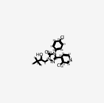 CC(C)(C)C(O)Cn1nc(-c2ccncc2Cl)n(-c2ccc(Cl)cc2)c1=O